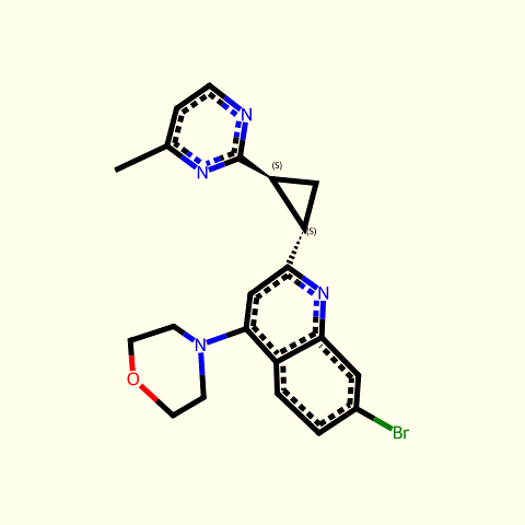 Cc1ccnc([C@H]2C[C@@H]2c2cc(N3CCOCC3)c3ccc(Br)cc3n2)n1